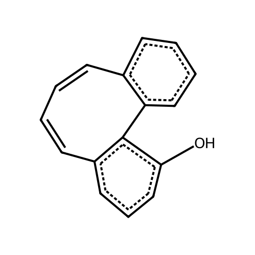 Oc1cccc2c1-c1ccccc1/C=C\C=C/2